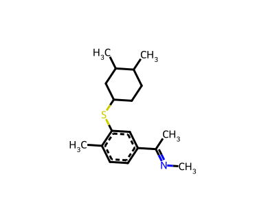 C/N=C(\C)c1ccc(C)c(SC2CCC(C)C(C)C2)c1